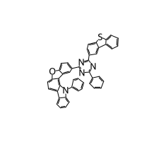 c1ccc(-c2nc(-c3ccc4sc5ccccc5c4c3)nc(-c3ccc4oc5ccc6c7ccccc7n(-c7ccccc7)c6c5c4c3)n2)cc1